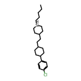 CCCCC[SiH]1CCC(CCC2CCC(c3ccc(Cl)cc3)CC2)CC1